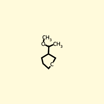 CO[C](C)C1CCCCC1